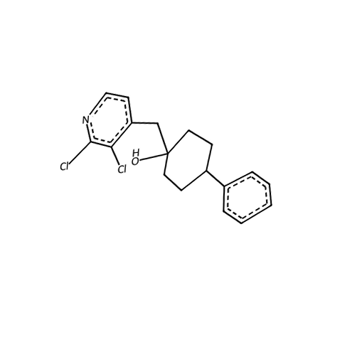 OC1(Cc2ccnc(Cl)c2Cl)CCC(c2ccccc2)CC1